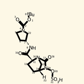 CC(C)(C)OC(=O)N1CC[C@@H](NC(=O)[C@@H]2CC[C@@H]3CN2C(=O)N3OS(=O)(=O)O)C1